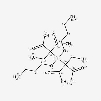 CCCC[O][Ti]([O]CCCC)([C](CC)(C(C)=O)C(=O)O)[C](CC)(C(C)=O)C(=O)O